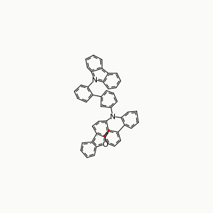 c1ccc(-c2ccccc2N(c2cccc(-c3ccccc3-n3c4ccccc4c4ccccc43)c2)c2ccc3c(c2)oc2ccccc23)cc1